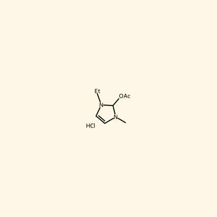 CCN1C=CN(C)C1OC(C)=O.Cl